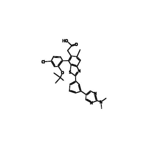 Cc1cc2nc(-c3cccc(-c4cnc(N(C)C)nc4)c3)sc2c(-c2ccc(Cl)cc2OC(C)(C)C)c1CC(=O)O